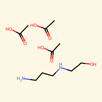 CC(=O)O.CC(=O)O.CC(=O)O.NCCCNCCO